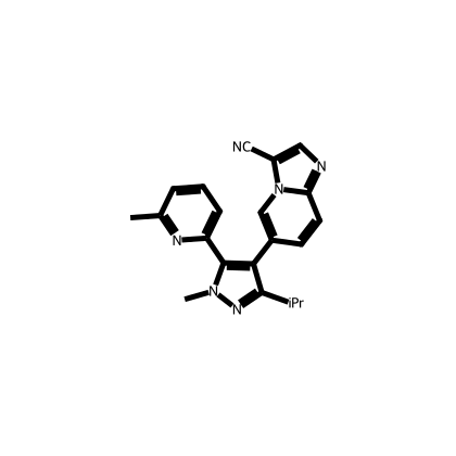 Cc1cccc(-c2c(-c3ccc4ncc(C#N)n4c3)c(C(C)C)nn2C)n1